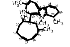 CC1=CC=c2c3c(n(C)c2=C(C2CC(C)/C=C\C=C/CCC2C)N1)[C@@H](C)CC=C3